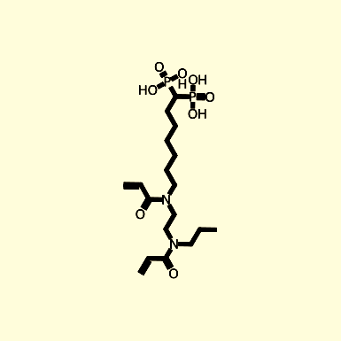 C=CC(=O)N(CCC)CCN(CCCCCCC(P(=O)(O)O)P(=O)(O)O)C(=O)C=C